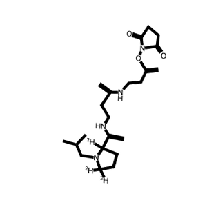 [2H]C1([2H])CCC([2H])(C(=C)NCCC(=C)NCCC(=C)ON2C(=O)CCC2=O)N1CC(C)C